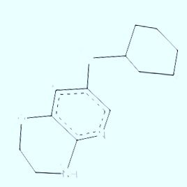 c1nc2c(cc1SC1CCCCC1)OCCN2